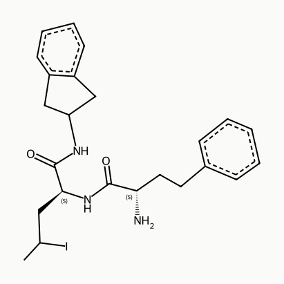 CC(I)C[C@H](NC(=O)[C@@H](N)CCc1ccccc1)C(=O)NC1Cc2ccccc2C1